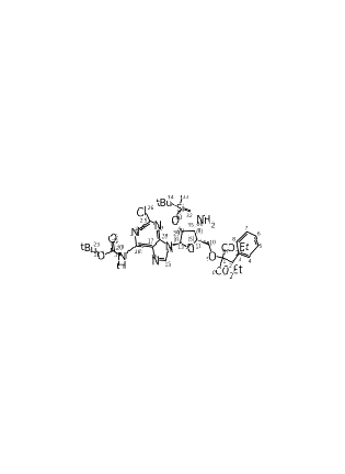 CCOC(=O)C(Cc1ccccc1)(OC[C@H]1O[C@@H](n2cnc3c(NC(=O)OC(C)(C)C)nc(Cl)nc32)[C@H](O[Si](C)(C)C(C)(C)C)[C@@H]1N)C(=O)OCC